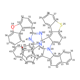 c1ccc2cc3c(cc2c1)c1ccc2ccccc2c1n3-c1ccc2sc3ccccc3c2c1-c1nc(-c2cccc3ccccc23)nc(-c2cccc3oc4ccccc4c23)n1